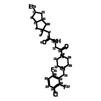 CCC1CC2CC(C)(CC(=O)NCC(=O)N3CCN(Cc4c(F)ccc(Cl)c4F)CC3)CC2C1